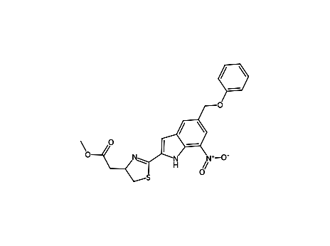 COC(=O)CC1CSC(c2cc3cc(COc4ccccc4)cc([N+](=O)[O-])c3[nH]2)=N1